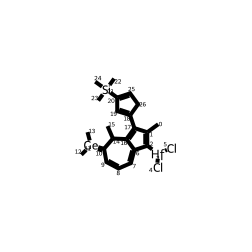 CC1=[C]([Hf]([Cl])[Cl])C2=CC=C[C](=[Ge]([CH3])[CH3])C(C)C2=C1C1=CC([Si](C)(C)C)=CC1